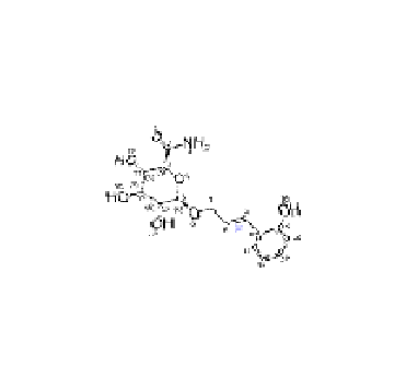 NC(=O)[C@H]1O[C@@H](OC/C=C/c2ccccc2O)[C@H](O)[C@@H](O)[C@@H]1O